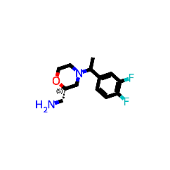 CC(c1ccc(F)c(F)c1)N1CCO[C@@H](CN)C1